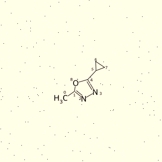 Cc1nnc(C2CC2)o1